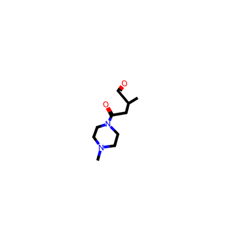 CC(C=O)CC(=O)N1CCN(C)CC1